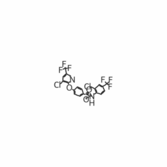 O=S(=O)(Nc1ccc(C(F)(F)F)cc1Cl)c1ccc(Oc2ncc(C(F)(F)F)cc2Cl)cc1